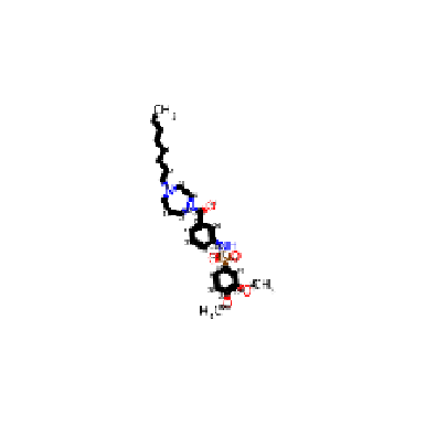 CCCCCCCCN1CCCN(C(=O)c2cccc(NS(=O)(=O)c3ccc(OC)c(OC)c3)c2)CC1